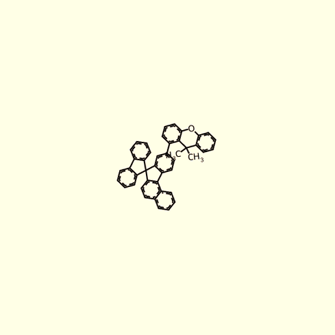 CC1(C)c2ccccc2Oc2cccc(-c3ccc4c(c3)C3(c5ccccc5-c5ccccc53)c3ccc5ccccc5c3-4)c21